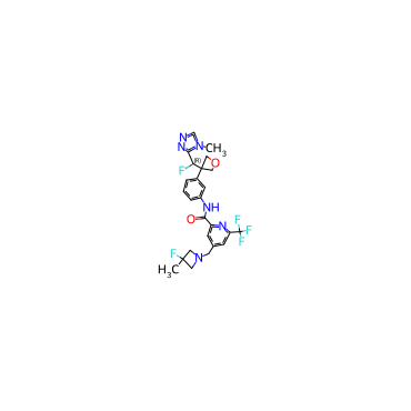 Cn1cnnc1[C@H](F)C1(c2cccc(NC(=O)c3cc(CN4CC(C)(F)C4)cc(C(F)(F)F)n3)c2)COC1